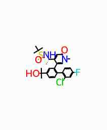 C[C@H](N[S@@+]([O-])C(C)(C)C)c1cc(=O)n(C)cc1-c1cc(C(C)(C)O)ccc1-c1ccc(F)cc1Cl